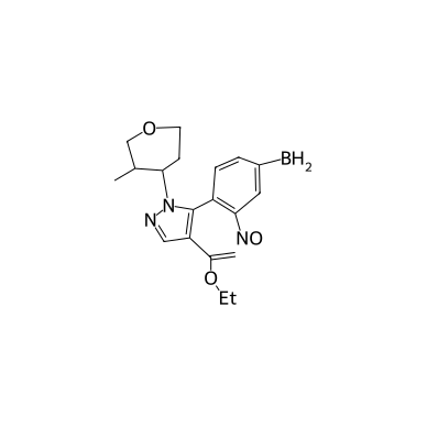 Bc1ccc(-c2c(C(=C)OCC)cnn2C2CCOCC2C)c(N=O)c1